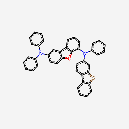 c1ccc(N(c2ccccc2)c2ccc3oc4c(N(c5ccccc5)c5ccc6c(c5)sc5ccccc56)cccc4c3c2)cc1